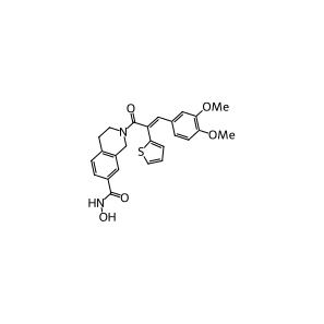 COc1ccc(C=C(C(=O)N2CCc3ccc(C(=O)NO)cc3C2)c2cccs2)cc1OC